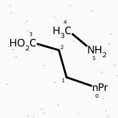 CCCCCC(=O)O.CN